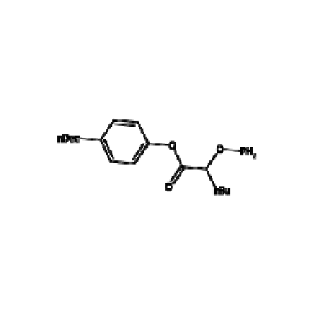 CCCCCCCCCCc1ccc(OC(=O)C(CCCC)OP)cc1